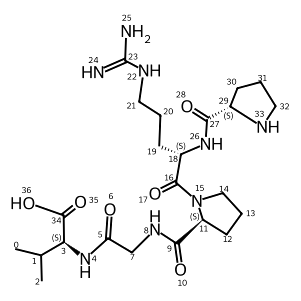 CC(C)[C@H](NC(=O)CNC(=O)[C@@H]1CCCN1C(=O)[C@H](CCCNC(=N)N)NC(=O)[C@@H]1CCCN1)C(=O)O